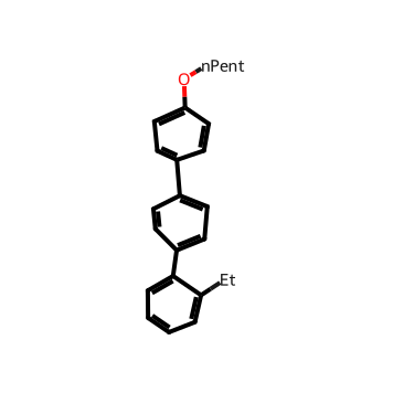 CCCCCOc1ccc(-c2ccc(-c3ccccc3CC)cc2)cc1